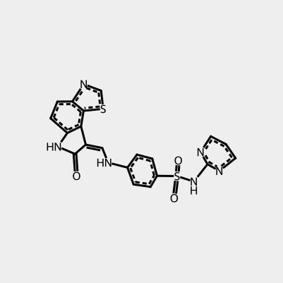 O=C1Nc2ccc3ncsc3c2C1=CNc1ccc(S(=O)(=O)Nc2ncccn2)cc1